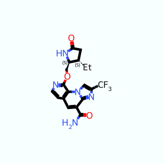 CC[C@H]1CC(=O)N[C@@H]1COc1nccc2cc(C(N)=O)c3nc(C(F)(F)F)cn3c12